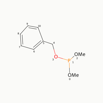 COP(OC)OCc1ccccc1